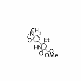 CCc1cc(C(=O)OC)c(=O)[nH]c1-c1ccc2c(c1)OCCN2C